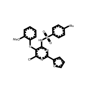 COc1ccccc1Oc1c(Cl)nc(-c2ccco2)nc1NS(=O)(=O)c1ccc(C(C)(C)C)cc1